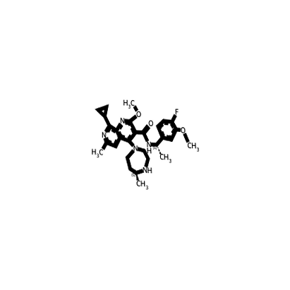 COc1cc([C@H](C)NC(=O)c2c(OC)nc3c(C4CC4)nc(C)cc3c2N2CCN[C@@H](C)CC2)ccc1F